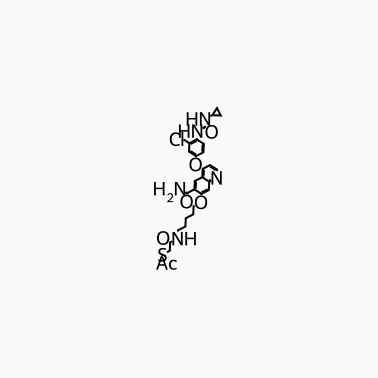 CC(=O)SCC(=O)NCCCCCOc1cc2nccc(Oc3ccc(NC(=O)NC4CC4)c(Cl)c3)c2cc1C(N)=O